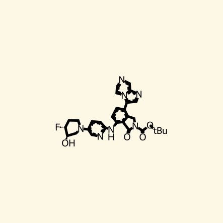 CC(C)(C)OC(=O)N1Cc2c(-c3cnc4cnccn34)ccc(Nc3ccc(N4CC[C@@H](F)[C@H](O)C4)cn3)c2C1=O